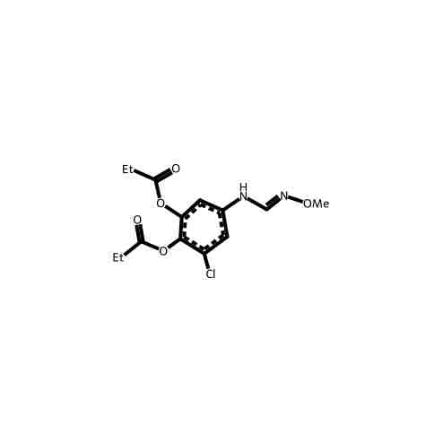 CCC(=O)Oc1cc(NC=NOC)cc(Cl)c1OC(=O)CC